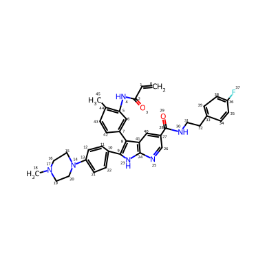 C=CC(=O)Nc1cc(-c2c(-c3ccc(N4CCN(C)CC4)cc3)[nH]c3ncc(C(=O)NCCc4ccc(F)cc4)cc23)ccc1C